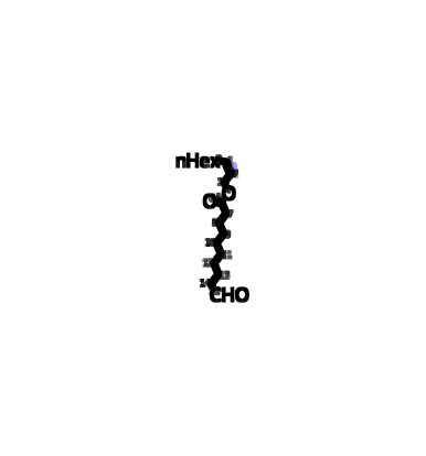 CCCCCC/C=C\COC(=O)CCCCCCCCC=O